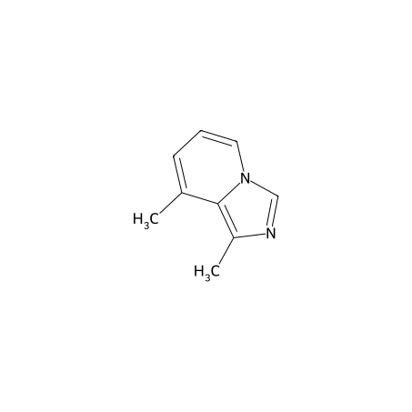 Cc1cccn2cnc(C)c12